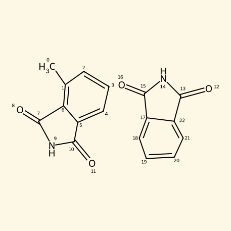 Cc1cccc2c1C(=O)NC2=O.O=C1NC(=O)c2ccccc21